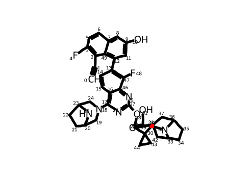 C#Cc1c(F)ccc2cc(O)cc(-c3ccc4c(N5CC6CCC(C5)N6)nc(OCC5(CN6C7CCC6CC(C(=O)O)C7)CC5)nc4c3F)c12